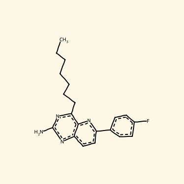 CCCCCCCc1nc(N)nc2ccc(-c3ccc(F)cc3)nc12